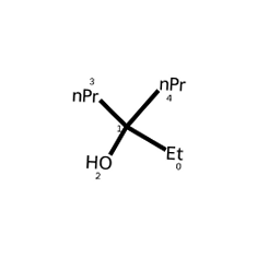 [CH2]CC(O)(CCC)CCC